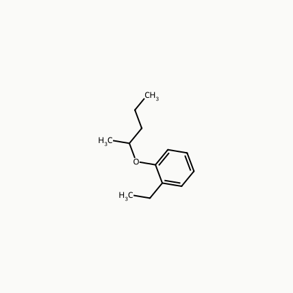 CCCC(C)Oc1ccccc1CC